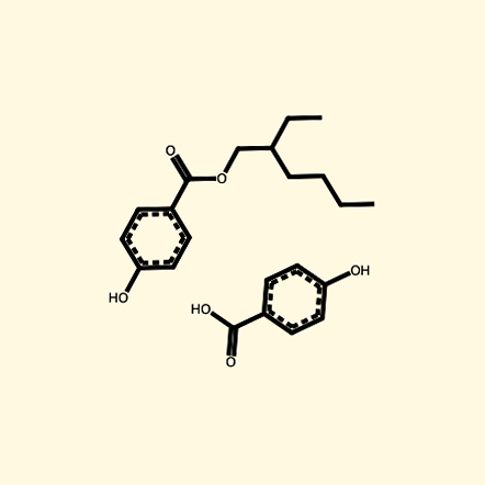 CCCCC(CC)COC(=O)c1ccc(O)cc1.O=C(O)c1ccc(O)cc1